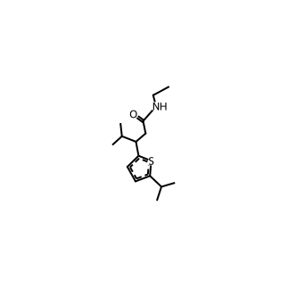 CCNC(=O)CC(c1ccc(C(C)C)s1)C(C)C